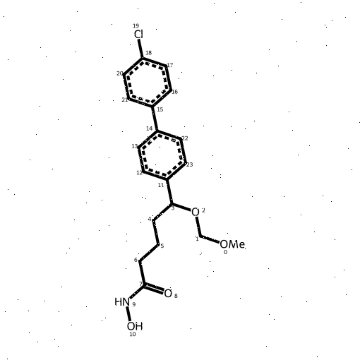 COCOC(CCCC(=O)NO)c1ccc(-c2ccc(Cl)cc2)cc1